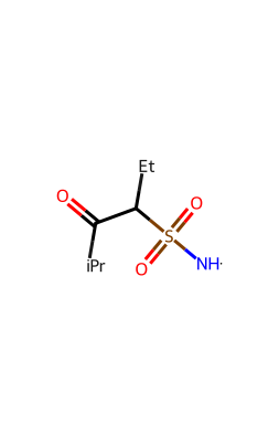 CCC(C(=O)C(C)C)S([NH])(=O)=O